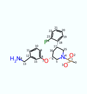 CS(=O)(=O)N1C[C@H](Oc2cccc(CN)c2)C[C@H](c2ccccc2F)C1